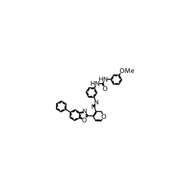 COc1cccc(NC(=O)Nc2cccc(N=NC3=C(c4nc5cc(-c6ccccc6)ccc5o4)C=COC3)c2)c1